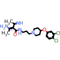 CC(=N)/C(C(=O)NCCCN1CCC(Oc2ccc(Cl)c(Cl)c2)CC1)=C(/C)N